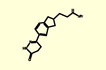 CCCNCCC1Cc2ccc(C3=NNC(=O)CC3)cc2C1